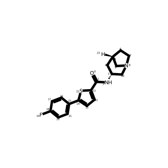 O=C(N[C@@H]1C[C@@H]2CCN(C2)C1)c1ccc(-c2ccc(F)cc2)s1